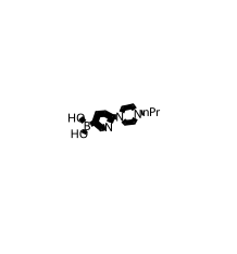 CCCN1CCN(c2ccc(B(O)O)cn2)CC1